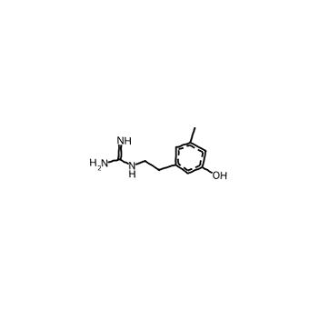 Cc1cc(O)cc(CCNC(=N)N)c1